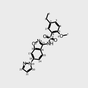 CCc1ccc(OC)c(S(=O)(=O)Nc2noc3cc(-n4cccn4)ccc23)c1